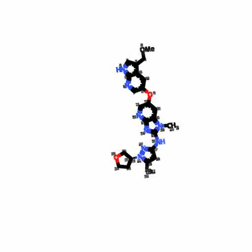 COCc1c[nH]c2ncc(Oc3cnc4nc(Nc5cc(C(C)(C)C)n([C@@H]6CCOC6)n5)n(C)c4c3)cc12